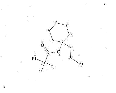 CCC(C)(C)C(=O)OC1(CCC(C)C)CCCCC1